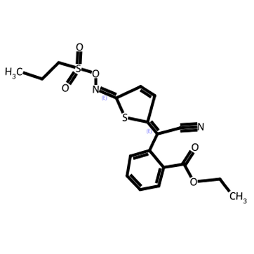 CCCS(=O)(=O)O/N=C1C=C/C(=C(\C#N)c2ccccc2C(=O)OCC)S\1